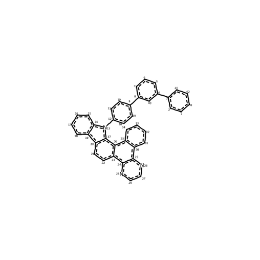 c1ccc(-c2cccc(-c3ccc(-n4c5ccccc5c5ccc6c7nccnc7c7ccccc7c6c54)cc3)c2)cc1